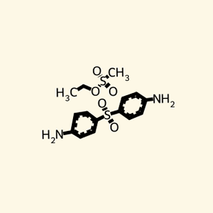 CCOS(C)(=O)=O.Nc1ccc(S(=O)(=O)c2ccc(N)cc2)cc1